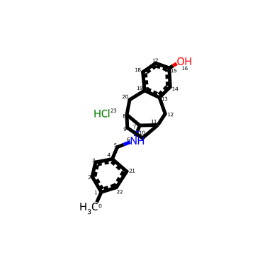 Cc1ccc(CNC2C3CCC2Cc2cc(O)ccc2C3)cc1.Cl